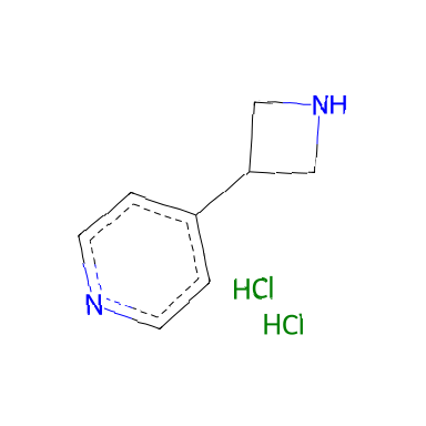 Cl.Cl.c1cc(C2CNC2)ccn1